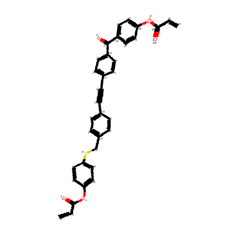 C=CC(=O)Oc1ccc(SCc2ccc(C#Cc3ccc(C(=O)c4ccc(OC(=O)C=C)cc4)cc3)cc2)cc1